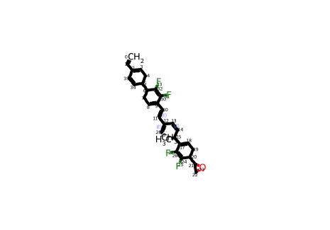 C=CC1=CCC(C2CC=C(/C=C/C(/C=C\C(C)C3=CCC(C4CO4)C(F)=C3F)=C/C)C(F)=C2F)C=C1